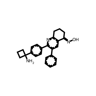 NC1(c2ccc(-c3nc4c(cc3-c3ccccc3)/C(=N/O)CCC4)cc2)CCC1